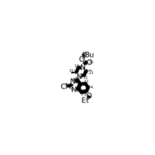 CCOC1=Cc2nc(Cl)nc(N3C[C@@H](C)N(C(=O)OC(C)(C)C)C[C@@H]3C)c2CC1